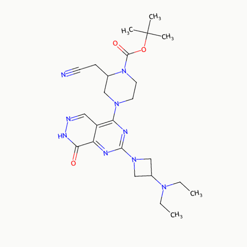 CCN(CC)C1CN(c2nc(N3CCN(C(=O)OC(C)(C)C)C(CC#N)C3)c3cn[nH]c(=O)c3n2)C1